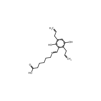 C=CCc1cc(O)c(CC=C)c(C=NCCCCCC(=O)O)c1O